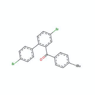 CC(C)(C)c1ccc(C(=O)c2cc(Br)ccc2-c2ccc(Br)cc2)cc1